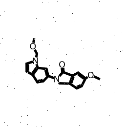 COCn1ccc2ccc(N3Cc4ccc(OC)cc4C3=O)cc21